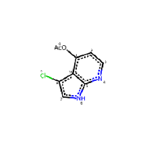 CC(=O)Oc1ccnc2[nH]cc(Cl)c12